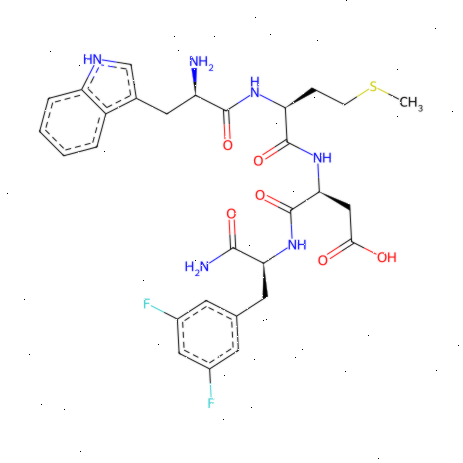 CSCC[C@H](NC(=O)[C@H](N)Cc1c[nH]c2ccccc12)C(=O)N[C@@H](CC(=O)O)C(=O)N[C@@H](Cc1cc(F)cc(F)c1)C(N)=O